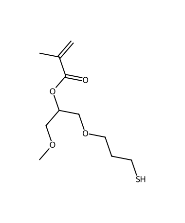 C=C(C)C(=O)OC(COC)COCCCS